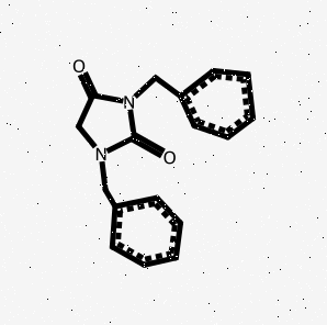 O=C1CN(Cc2ccccc2)C(=O)N1Cc1ccccc1